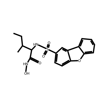 CCC(C)C(NS(=O)(=O)c1ccc2oc3ccccc3c2c1)C(=O)NO